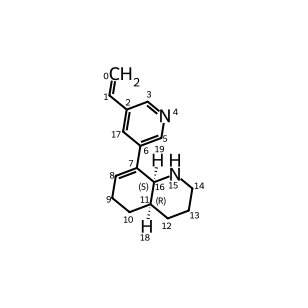 C=Cc1cncc(C2=CCC[C@@H]3CCCN[C@H]23)c1